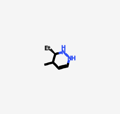 CC[C@H]1NNC=CC1C